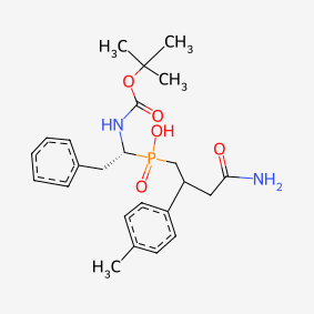 Cc1ccc(C(CC(N)=O)CP(=O)(O)[C@H](Cc2ccccc2)NC(=O)OC(C)(C)C)cc1